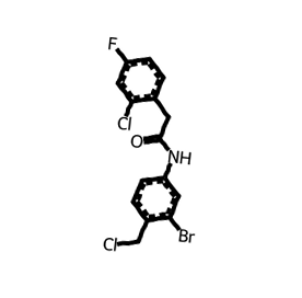 O=C(Cc1ccc(F)cc1Cl)Nc1ccc(CCl)c(Br)c1